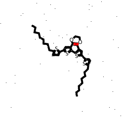 CCCCCCCCCc1ccc(-c2cc3c(s2)-c2sc(-c4ccc(CCCCCCCCC)s4)cc2C24OCCOC32OCCO4)s1